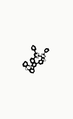 c1ccc(-c2cc(-c3ccccc3)nc(-c3nc(-c4ccccc4)nc4oc5ccc(-c6ccc7c(c6)c6cccc8c6n7-c6ccccc6O8)cc5c34)n2)cc1